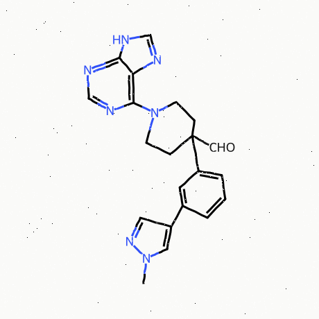 Cn1cc(-c2cccc(C3(C=O)CCN(c4ncnc5[nH]cnc45)CC3)c2)cn1